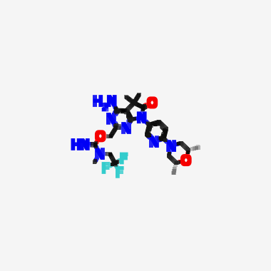 C[C@@H]1CN(c2ccc(N3C(=O)C(C)(C)c4c(N)nc(COC(=N)N(C)CC(F)(F)F)nc43)cn2)C[C@H](C)O1